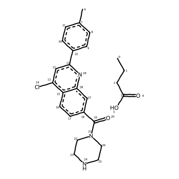 CCCC(=O)O.Cc1ccc(-c2cc(Cl)c3ccc(C(=O)N4CCNCC4)cc3n2)cc1